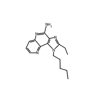 CCCCCn1c(CC)nc2c(N)nc3cccnc3c21